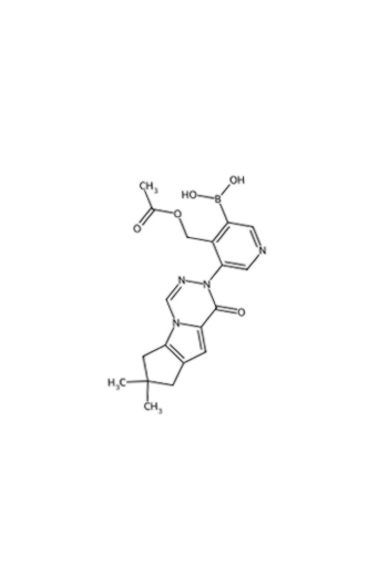 CC(=O)OCc1c(B(O)O)cncc1-n1ncn2c3c(cc2c1=O)CC(C)(C)C3